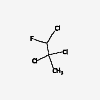 CC(Cl)(Cl)C(F)Cl